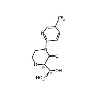 O=C(O)[C@H](O)[C@H]1OCCN(c2ccc(C(F)(F)F)cn2)C1=O